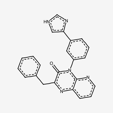 O=c1c(Cc2ccccc2)nc2cccnc2n1-c1cccc(-c2c[nH]cn2)c1